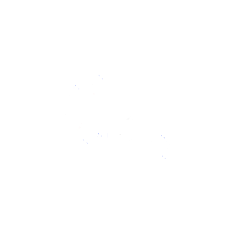 Cn1cnc(-c2cc(Cl)c(F)c(C(=O)NNS(=O)(=O)CC3CCC(NC(=O)N4CCCCC4)C3)c2)c1